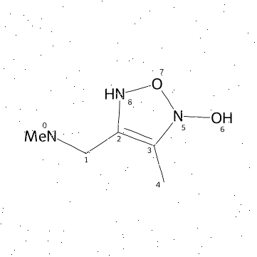 CNCC1=C(C)N(O)ON1